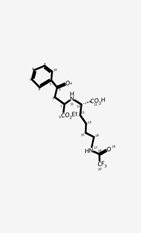 CCOC(=O)C(CC(=O)c1ccccc1)N[C@@H](CCCCNC(=O)C(F)(F)F)C(=O)O